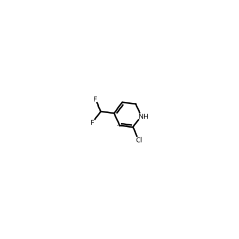 FC(F)C1=CCNC(Cl)=[C]1